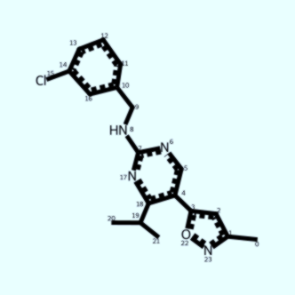 Cc1cc(-c2cnc(NCc3cccc(Cl)c3)nc2C(C)C)on1